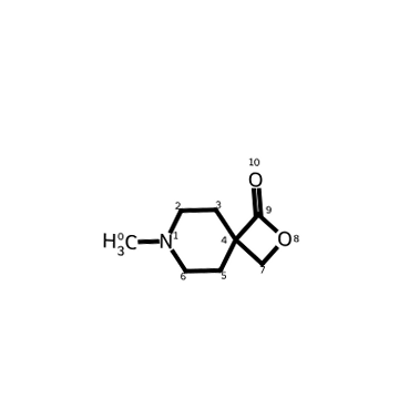 CN1CCC2(CC1)COC2=O